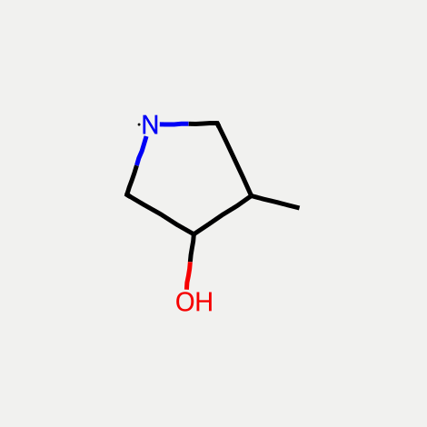 CC1C[N]CC1O